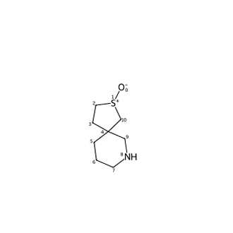 [O-][S+]1CCC2(CCCNC2)C1